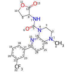 CN1CCN(C(=O)NC2CCOC2=O)c2nc(-c3cccc(C(F)(F)F)c3)ccc21